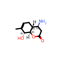 CC1=CC[C@H]2[C@@H](OC(=O)C[C@@H]2N)[C@@H]1O